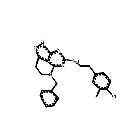 Cc1cc(CCNc2nc3c4c(n[nH]c4n2)CCN3Cc2ccccc2)ccc1Cl